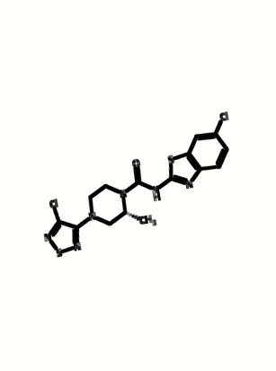 C[C@@H]1CN(c2nsnc2Cl)CCN1C(=O)Nc1nc2ccc(Cl)cc2s1